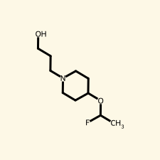 CC(F)OC1CCN(CCCO)CC1